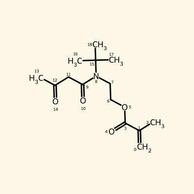 C=C(C)C(=O)OCCN(C(=O)CC(C)=O)C(C)(C)C